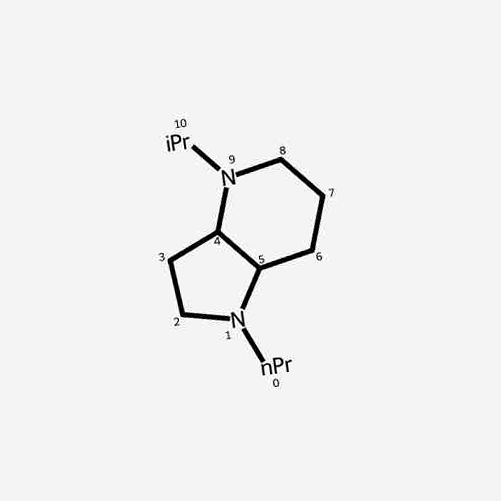 CCCN1CCC2C1CCCN2C(C)C